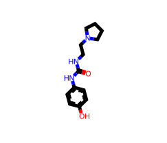 O=C(NCCN1CCCC1)Nc1ccc(O)cc1